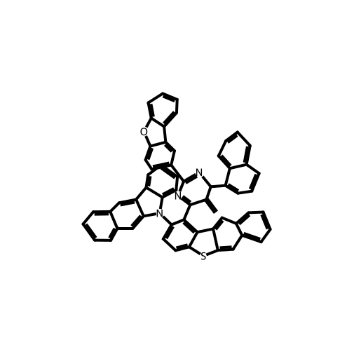 C=C1C(c2c(-n3c4ccccc4c4cc5ccccc5cc43)ccc3sc4cc5ccccc5cc4c23)=NC(c2ccc3oc4ccccc4c3c2)=NC1c1cccc2ccccc12